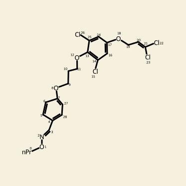 CCCO/N=C/c1ccc(OCCCOc2c(Cl)cc(OCC=C(Cl)Cl)cc2Cl)cc1